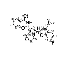 CC[C@@H](NC(=O)c1cc(C(=O)N[C@H](c2ccc(F)cc2)C2CC2)n2c1COCC2)c1ccccc1